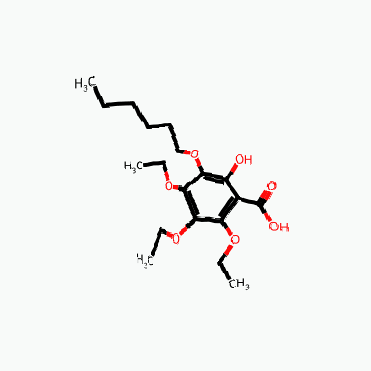 CCCCCCOc1c(O)c(C(=O)O)c(OCC)c(OCC)c1OCC